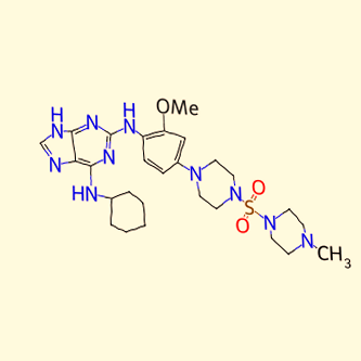 COc1cc(N2CCN(S(=O)(=O)N3CCN(C)CC3)CC2)ccc1Nc1nc(NC2CCCCC2)c2nc[nH]c2n1